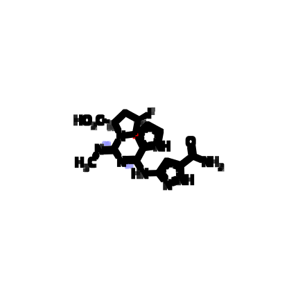 C/N=C(\N=C(\Nc1cc(C(N)=O)[nH]n1)c1ccc[nH]1)N1C[C@H](F)C[C@H]1C(=O)O